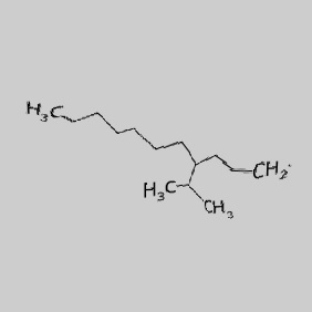 [CH2]CCC(CCCCCCC)C(C)C